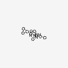 c1ccc(C2=NC(c3ccc(-c4ccccc4)cc3)NC(c3cccc4oc5c(-c6ccc7c8ccccc8c8ccccc8c7c6)cncc5c34)=N2)cc1